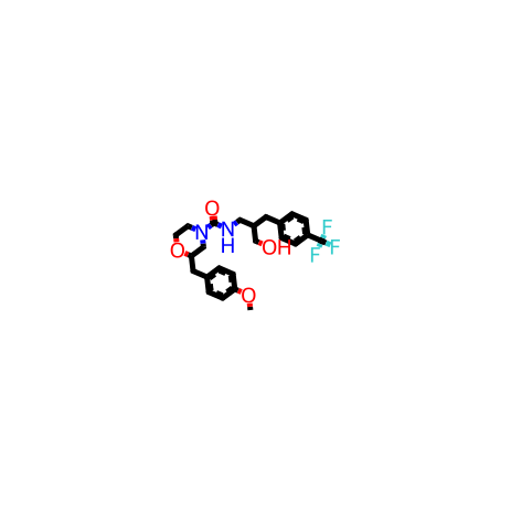 COc1ccc(CC2CN(C(=O)NCC(CO)Cc3ccc(C(F)(F)F)cc3)CCO2)cc1